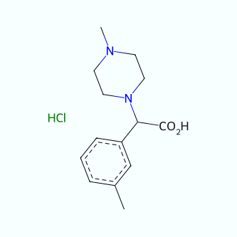 Cc1cccc(C(C(=O)O)N2CCN(C)CC2)c1.Cl